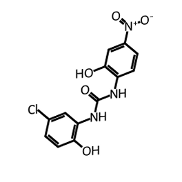 O=C(Nc1ccc([N+](=O)[O-])cc1O)Nc1cc(Cl)ccc1O